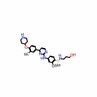 COc1cc(Nc2nccc(-c3ccc(OC4CCNCC4)c(C#N)c3)n2)ccc1SNCCCO